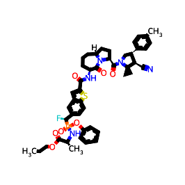 CCCOC(=O)[C@H](C)NP(=O)(Oc1ccccc1)[C@@H](F)c1ccc2sc(C(=O)N[C@H]3CCC[C@H]4CC[C@@H](C(=O)N5C[C@H](c6ccc(C)cc6)[C@@H](C#N)C56CC6)N4C3=O)cc2c1